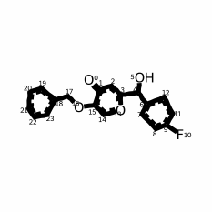 O=c1cc(C(O)c2ccc(F)cc2)occ1OCc1ccccc1